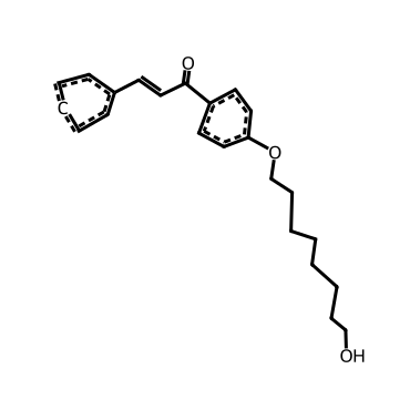 O=C(/C=C/c1ccccc1)c1ccc(OCCCCCCCCO)cc1